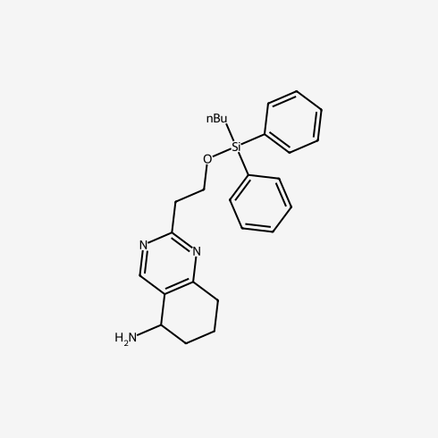 CCCC[Si](OCCc1ncc2c(n1)CCCC2N)(c1ccccc1)c1ccccc1